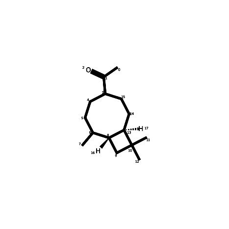 CC(=O)C1CCC(C)[C@H]2CC(C)(C)[C@@H]2CC1